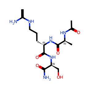 C=C(N)NCCC[C@H](NC(=O)[C@H](C)NC(C)=O)C(=O)N[C@@H](CO)C(N)=O